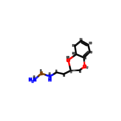 NSNCCC1COC2=CC=CCC2O1